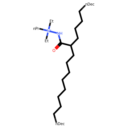 CCCCCCCCCCCCCCCCCCC(CCCCCCCCCCCCCC)C(=O)N[N+](CC)(CC)CCC